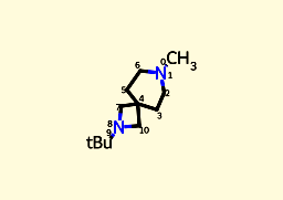 CN1CCC2(CC1)CN(C(C)(C)C)C2